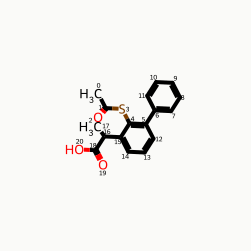 CC(=O)Sc1c(-c2ccccc2)cccc1C(C)C(=O)O